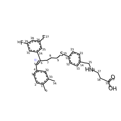 Cc1ccc(/C=C(\CCCSc2ccc(CNCCC(=O)O)cc2)c2cc(F)cc(F)c2)cc1C